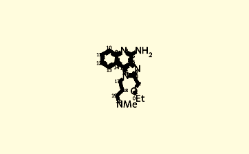 CCOCc1nc2c(N)nc3ccccc3c2n1CCCNC